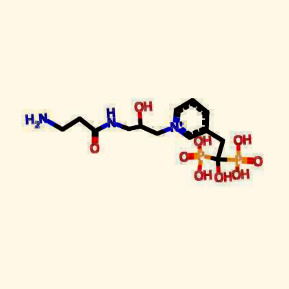 NCCC(=O)NCC(O)C[n+]1cccc(CC(O)(P(=O)(O)O)P(=O)(O)O)c1